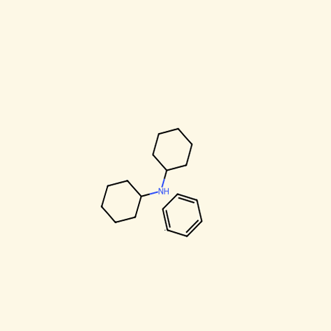 C1CCC(NC2CCCCC2)CC1.[c]1ccccc1